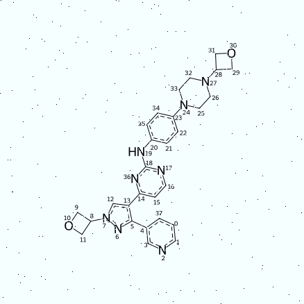 c1cncc(-c2nn(C3COC3)cc2-c2ccnc(Nc3ccc(N4CCN(C5COC5)CC4)cc3)n2)c1